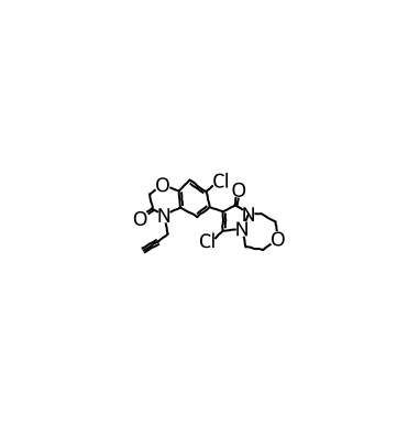 C#CCN1C(=O)COc2cc(Cl)c(-c3c(Cl)n4n(c3=O)CCOCC4)cc21